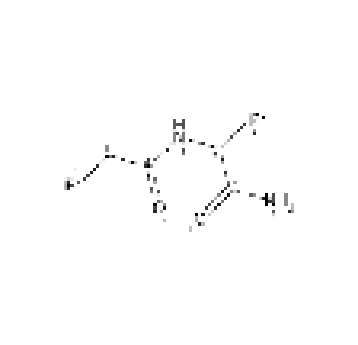 CC(C)CC(=O)NC(C(N)=O)C(C)C